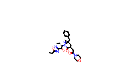 CCc1nc(C(=O)[C@H](CC)NC(=O)C(CC(=O)N2CCOCC2)CC2(Cc3ccccc3)CC2)no1